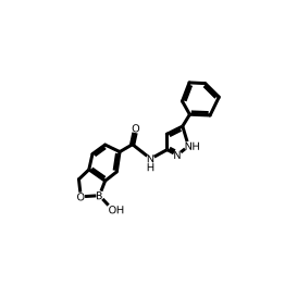 O=C(Nc1cc(-c2ccccc2)[nH]n1)c1ccc2c(c1)B(O)OC2